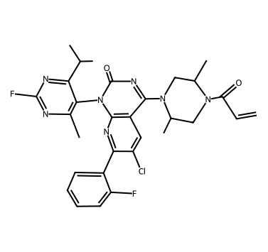 C=CC(=O)N1CC(C)N(c2nc(=O)n(-c3c(C)nc(F)nc3C(C)C)c3nc(-c4ccccc4F)c(Cl)cc23)CC1C